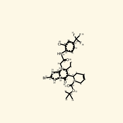 CCc1c(C2CC=CCN2C(=O)OC(C)(C)C)c(=O)n2nc(Br)nc2n1CC(=O)Nc1ccc(C(F)(F)F)cc1Cl